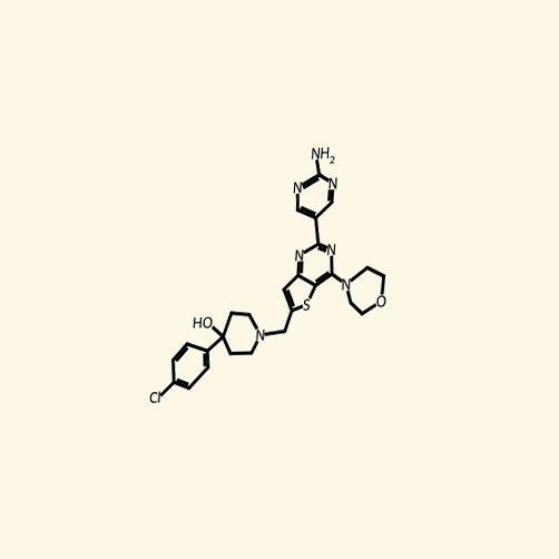 Nc1ncc(-c2nc(N3CCOCC3)c3sc(CN4CCC(O)(c5ccc(Cl)cc5)CC4)cc3n2)cn1